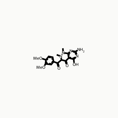 COc1ccc(C(=O)C2C(=O)c3c(O)nc(N)nc3N(C)N2C)cc1OC